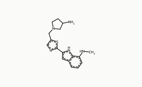 CNc1cccc2cc(-c3ncc(CN4CCC(N)C4)s3)[nH]c12